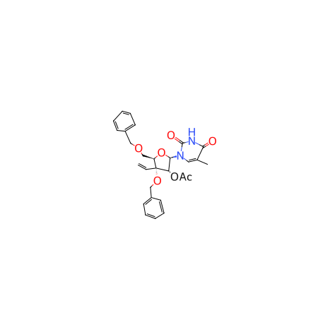 C=C[C@@]1(OCc2ccccc2)[C@@H](COCc2ccccc2)O[C@@H](n2cc(C)c(=O)[nH]c2=O)[C@@H]1OC(C)=O